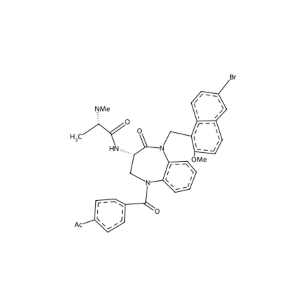 CN[C@@H](C)C(=O)N[C@H]1CN(C(=O)c2ccc(C(C)=O)cc2)c2ccccc2N(Cc2c(OC)ccc3cc(Br)ccc23)C1=O